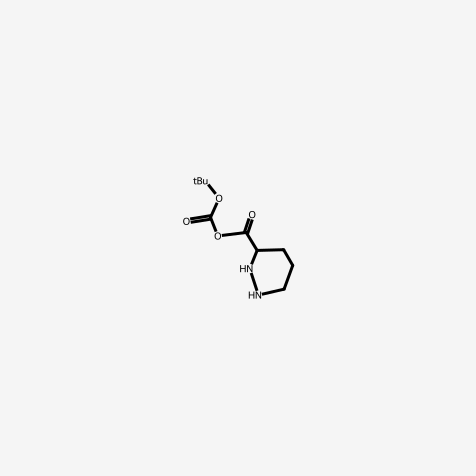 CC(C)(C)OC(=O)OC(=O)C1CCCNN1